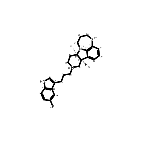 Fc1ccc2[nH]cc(CCCN3CC[C@@H]4[C@H](C3)c3cccc5c3N4CCCS5)c2c1